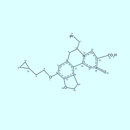 CC(C)CC1Cc2cc(OCCC3CC3)c3c(c2-c2cc(=O)c(C(=O)O)cn21)CCO3